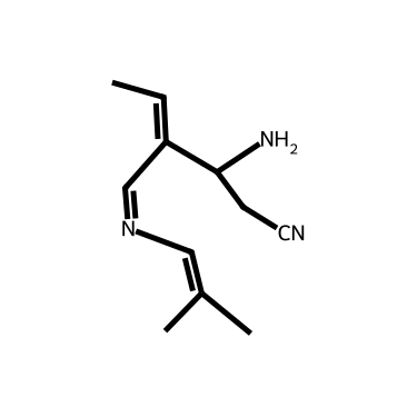 C/C=C(\C=N/C=C(C)C)C(N)CC#N